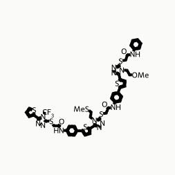 COCCn1c(SCC(=O)Nc2ccccc2)nnc1-c1ccc(-c2ccc(NC(=O)CSc3nnc(-c4ccc(-c5ccc(NC(=O)CSc6nnc(-c7cccs7)n6C(F)(F)F)cc5)s4)n3CCSC)cc2)s1